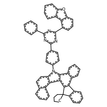 c1ccc(-c2nc(-c3ccc(-n4c5ccc6ccccc6c5c5c6c(c7ccccc7c54)-c4ccccc4C64CCCCC4)cc3)nc(-c3cccc4oc5ccccc5c34)n2)cc1